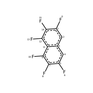 Fc1[c]c2cc(F)c(F)c(F)c2c(F)c1F